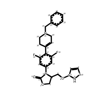 O=C1OCC(CON2C=CSN2)N1c1cc(F)c(C2=CCN(Cc3ccccc3)CC2)c(F)c1